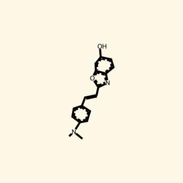 CN(C)c1ccc(C=Cc2nc3ccc(O)cc3o2)cc1